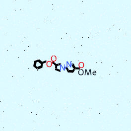 COC(=O)c1ccc(N2CCC(C(=O)OCc3ccccc3)C2)nc1